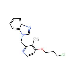 Cc1c(OCCCCl)ccnc1Cn1cnc2ccccc21